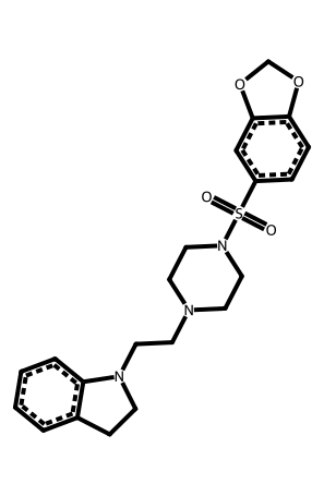 O=S(=O)(c1ccc2c(c1)OCO2)N1CCN(CCN2CCc3ccccc32)CC1